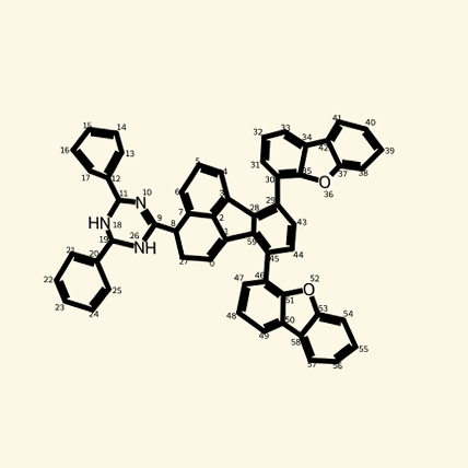 C1=C2c3c(cccc3C(C3=NC(c4ccccc4)NC(c4ccccc4)N3)C1)-c1c(-c3cccc4c3oc3ccccc34)ccc(-c3cccc4c3oc3ccccc34)c12